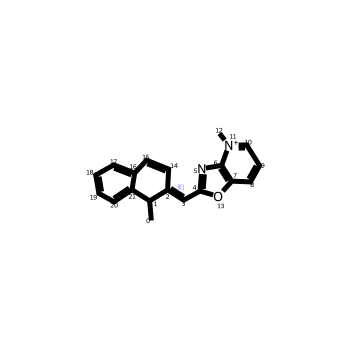 CC1/C(=C/c2nc3c(ccc[n+]3C)o2)C=Cc2ccccc21